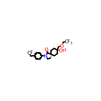 O=C1N(c2ccc(CC(F)(F)F)cc2)CC[C@]12CC[C@@](O)(COCC(F)(F)F)CC2